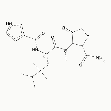 CC(C)C(C)(C)C[C@H](NC(=O)c1cc[nH]c1)C(=O)N(C)C1C(=O)COC1C(N)=O